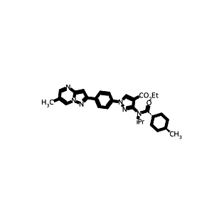 CCOC(=O)c1cn(-c2ccc(-c3cc4ncc(C)cn4n3)cc2)nc1N(C(=O)[C@H]1CC[C@H](C)CC1)C(C)C